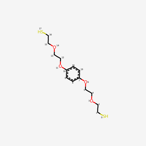 SCCOCCOc1ccc(OCCOCCS)cc1